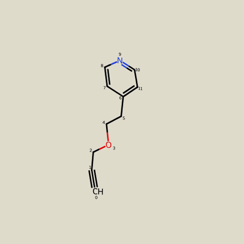 C#CCOCCc1ccncc1